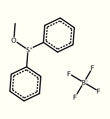 CO[S+](c1ccccc1)c1ccccc1.F[B-](F)(F)F